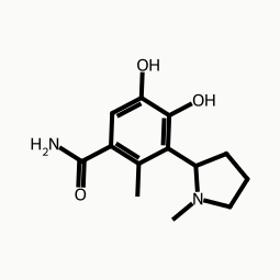 Cc1c(C(N)=O)cc(O)c(O)c1C1CCCN1C